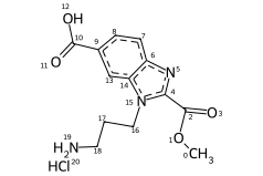 COC(=O)c1nc2ccc(C(=O)O)cc2n1CCCN.Cl